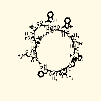 CCCC[C@H]1C(=O)N(C)[C@@H](CCCC)C(=O)N[C@H]2CCC(=O)NCCC[C@H](NC(=O)[C@H](Cc3c[nH]c4ccccc34)NC(=O)CN(C)C(=O)[C@H](CC(C)C)NC(=O)[C@H](Cc3cnc[nH]3)NC(=O)[C@@H]3CCCN3C(=O)[C@H](CC(N)=O)NC(=O)[C@H](C)N(C)C(=O)[C@H](Cc3ccccc3)NC(=O)CSC[C@@H](C(=O)NCC(N)=O)NC2=O)C(=O)N[C@@H](Cc2c[nH]c3ccccc23)C(=O)N1C